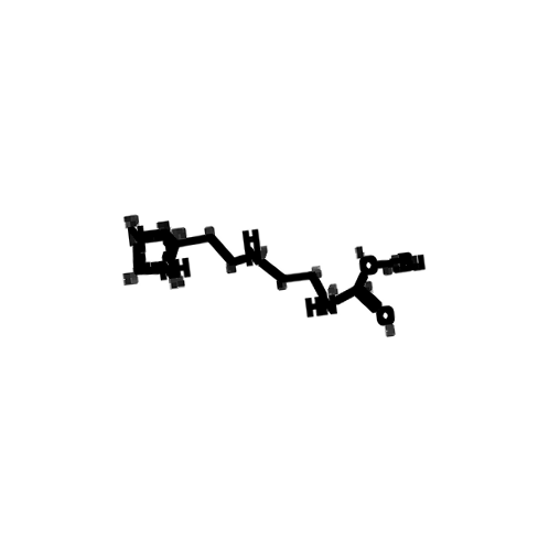 CC(C)(C)OC(=O)NCCNCCc1cnc[nH]1